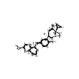 COc1cnc2c(Nc3ccc(F)c([C@]4(C)CS[C@@](CF)(C5CC5)C(N)=N4)c3)nccc2n1